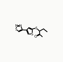 CCC(Sc1cc(-c2csnn2)cs1)C(C)=O